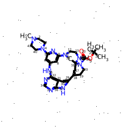 CN1CCN(c2cc3cc(n2)N2CCN(C)C4(C=C(CCN4C(=O)OC(C)(C)C)c4cc5c(ncnc5[nH]4)N3)C2)CC1